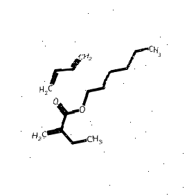 C=C(CC)C(=O)OCCCCCC.C=CC=C